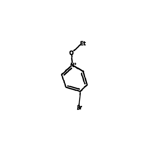 CCO[n+]1ccc(Br)cc1